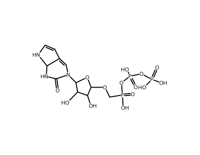 O=C1NC2NC=CC2=CN1C1OC(OCP(=O)(O)OP(=O)(O)OP(=O)(O)O)C(O)C1O